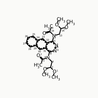 COC(CN(C(C)=O)c1nnc(N(CC(OC)OC)C(C)=O)c2cc3ccccc3cc12)OC